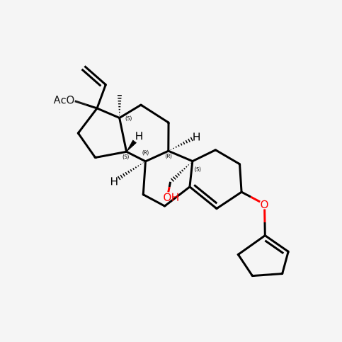 C=CC1(OC(C)=O)CC[C@H]2[C@@H]3CCC4=CC(OC5=CCCC5)CC[C@]4(CO)[C@@H]3CC[C@@]21C